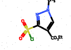 CCOC(=O)c1cn(C)nc1S(=O)(=O)Cl